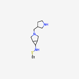 CCSNC1C2CN(CC3CCNC3)CC21